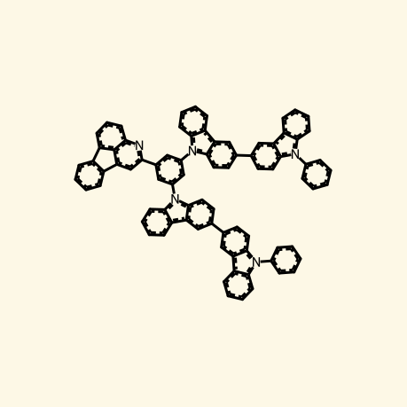 c1ccc(-n2c3ccccc3c3cc(-c4ccc5c(c4)c4ccccc4n5-c4cc(-c5cc6c7c(cccc7n5)-c5ccccc5-6)cc(-n5c6ccccc6c6cc(-c7ccc8c(c7)c7ccccc7n8-c7ccccc7)ccc65)c4)ccc32)cc1